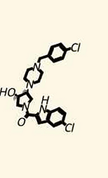 O=C(c1cc2cc(Cl)ccc2[nH]1)N1C[C@@H](O)[C@H](N2CCN(Cc3ccc(Cl)cc3)CC2)C1